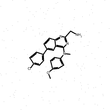 COc1ccc(N(C)c2nc(CN)nc3ccc(-c4ccc(Cl)cc4)cc23)cc1